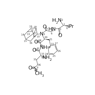 CC(C)[C@H](N)C(=O)NCC(=O)N(C1C2CC3CC(C2)CC1C3)[C@@H](Cc1ccccc1)C(=O)NC(=O)C(N)CC[S+](C)[O-]